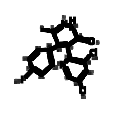 Cc1n[nH]c(=O)c(-c2ncc(Cl)cc2Cl)c1-c1ccc(F)cc1